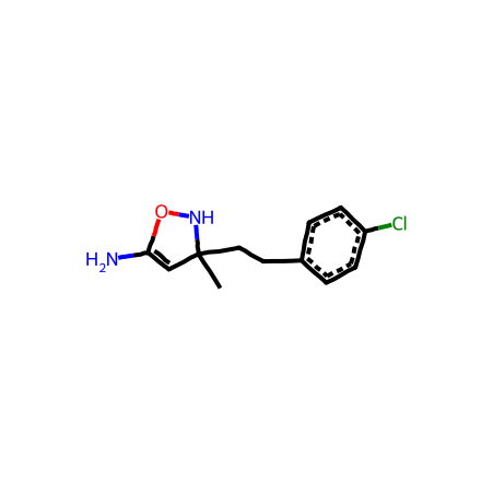 CC1(CCc2ccc(Cl)cc2)C=C(N)ON1